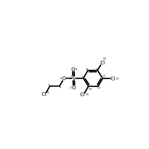 O=S(=O)(OCCCl)c1cc(Cl)c(Cl)cc1Cl